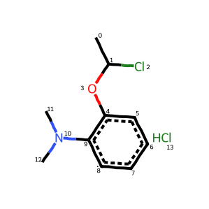 CC(Cl)Oc1ccc[c]c1N(C)C.Cl